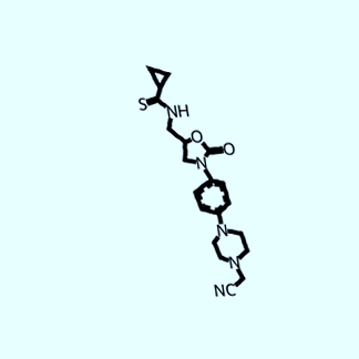 N#CCN1CCN(c2ccc(N3CC(CNC(=S)C4CC4)OC3=O)cc2)CC1